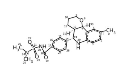 Cc1ccc2c(c1)[C@@H]1OCCC[C@@H]1[C@@H](c1ccc(C(=O)NS(=O)(=O)N(C)C)cc1)N2